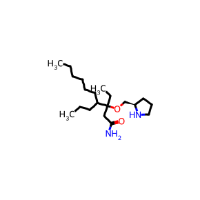 CCCCCCC(CCC)C(CC)(CC(N)=O)OC[C@H]1CCCN1